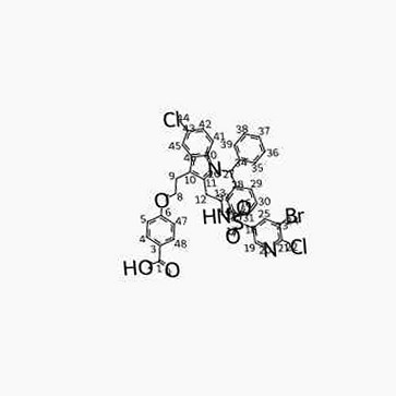 O=C(O)c1ccc(OCCc2c(CCNS(=O)(=O)c3cnc(Cl)c(Br)c3)n(C(c3ccccc3)c3ccccc3)c3ccc(Cl)cc23)cc1